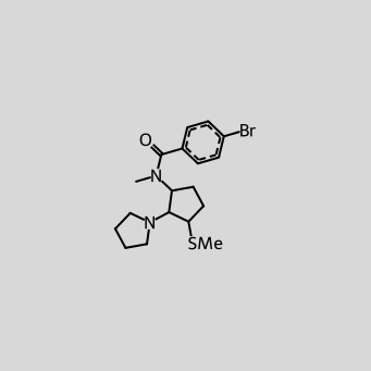 CSC1CCC(N(C)C(=O)c2ccc(Br)cc2)C1N1CCCC1